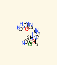 CC(Oc1cc(-c2cc3n(n2)CCC32CCN(C(=O)NC(C)(C)c3ccncc3Cl)C2)cnc1N)c1cccnc1